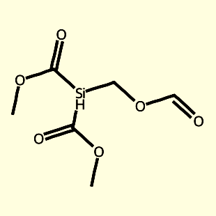 COC(=O)[SiH](COC=O)C(=O)OC